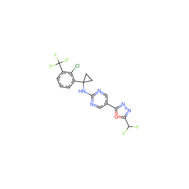 FC(F)c1nnc(-c2cnc(NC3(c4cccc(C(F)(F)F)c4Cl)CC3)nc2)o1